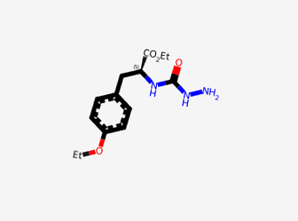 CCOC(=O)[C@H](Cc1ccc(OCC)cc1)NC(=O)NN